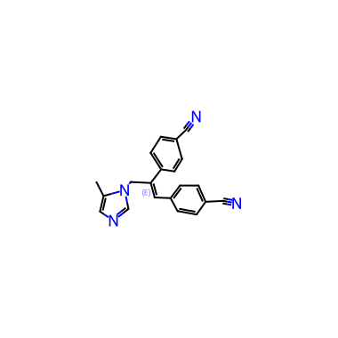 Cc1cncn1C/C(=C/c1ccc(C#N)cc1)c1ccc(C#N)cc1